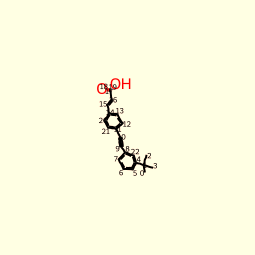 CC(C)(C)c1cccc(C#Cc2ccc(C=CC(=O)O)cc2)c1